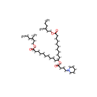 CC(C)CCC(CCOC(=O)CCCCCCCCCC(CCCCCCCCCC(=O)OCCC(CCC(C)C)C(C)C)OC(=O)CCCN1CCCCC1)C(C)C